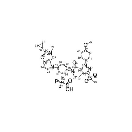 COc1ccc(-n2nc(S(C)(=O)=O)c3c2C(=O)N(c2ccc(-n4ccnc4CN(C)C(=O)C4CC4)cc2)CC3)cc1.O=C(O)C(F)(F)F